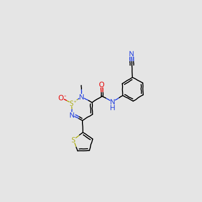 CN1C(C(=O)Nc2cccc(C#N)c2)=CC(c2cccs2)=N[S+]1[O-]